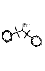 C[C](C)C(C(C)(C)c1ccccc1)C(C)(C)c1ccccc1